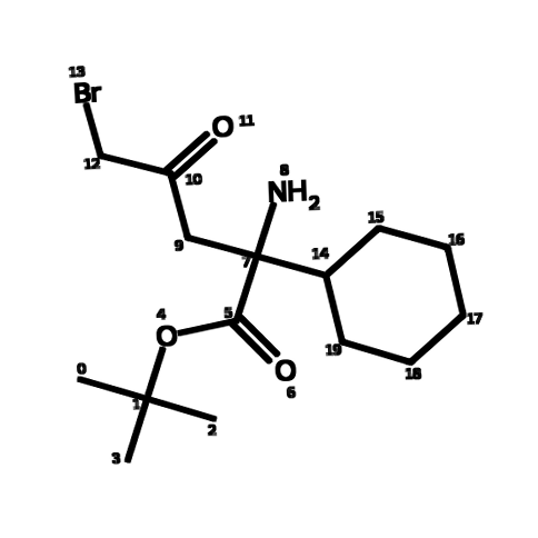 CC(C)(C)OC(=O)C(N)(CC(=O)CBr)C1CCCCC1